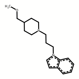 COCC1CCN(CCCn2ccc3ccccc32)CC1